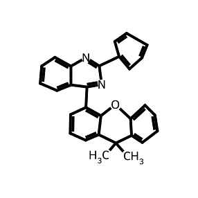 CC1(C)c2ccccc2Oc2c(-c3nc(-c4ccccc4)nc4ccccc34)cccc21